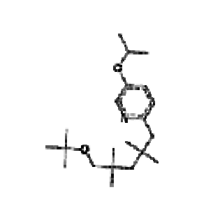 CC(C)Oc1ccc(CC(C)(C)CC(C)(C)COC(C)(C)C)nc1